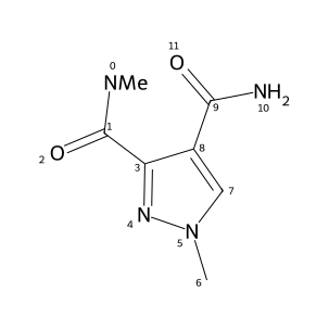 CNC(=O)c1nn(C)cc1C(N)=O